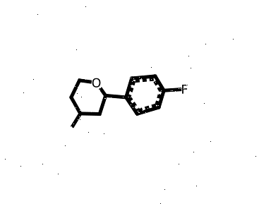 CC1CCOC(c2ccc(F)cc2)C1